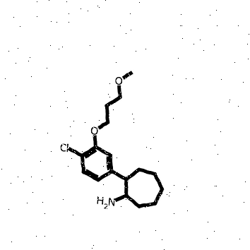 COCCCOc1cc(C2CCCCCC2N)ccc1Cl